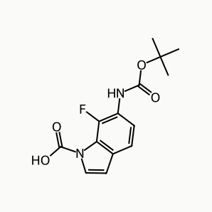 CC(C)(C)OC(=O)Nc1ccc2ccn(C(=O)O)c2c1F